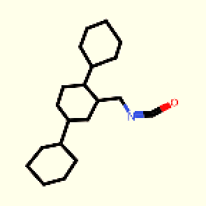 O=C=NCC1CC(C2CCCCC2)CCC1C1CCCCC1